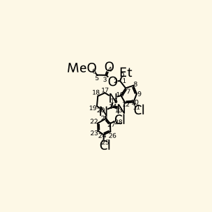 CCC(OC(=O)COC)c1ccc(Cl)c2nc3n(c12)CCCN3c1ccc(Cl)cc1Cl